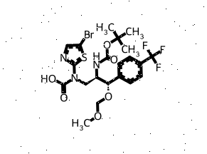 COCO[C@@H](c1ccc(C(F)(F)F)cc1)[C@@H](CN(C(=O)O)c1ncc(Br)s1)NC(=O)OC(C)(C)C